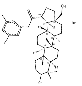 C=C(C[n+]1cc(C)cc(C)c1)[C@@H]1CC[C@]2(CO)CC[C@]3(C)[C@H](CC[C@@H]4[C@@]5(C)CCC(O)C(C)(C)[C@@H]5CC[C@]43C)[C@@H]12.[Br-]